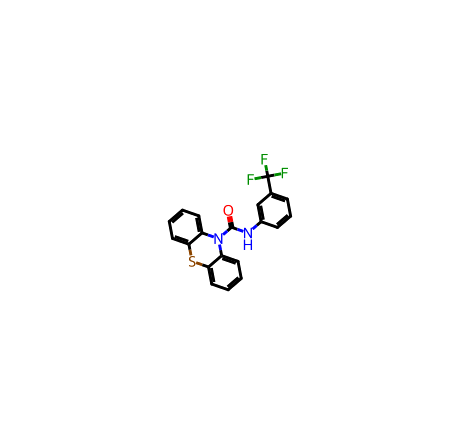 O=C(Nc1cccc(C(F)(F)F)c1)N1c2ccccc2Sc2ccccc21